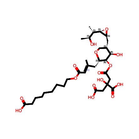 C/C(=C\C(=O)OCCCCCCCCC(=O)O)C[C@@H]1OC[C@H](C[C@@H]2O[C@H]2[C@@H](C)[C@H](C)O)[C@@H](O)[C@H]1OC(=O)CC(O)(CC(=O)O)C(=O)O